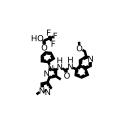 COCc1cc2c(NC(=O)Nc3c(C)c(-c4cnn(C)c4)nn3-c3ccccc3)cccc2cn1.O=C(O)C(F)(F)F